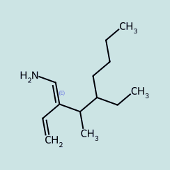 C=C/C(=C\N)C(C)C(CC)CCCC